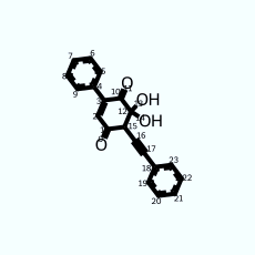 O=C1C=C(c2ccccc2)C(=O)C(O)(O)C1C#Cc1ccccc1